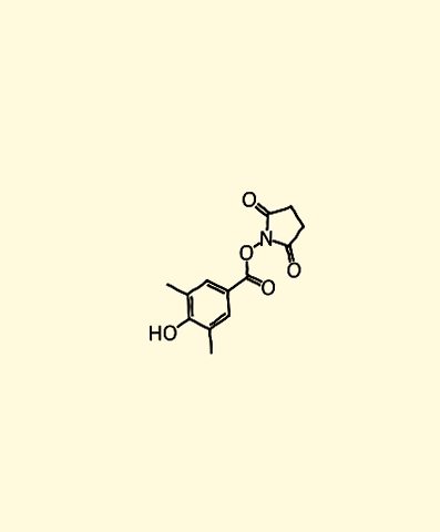 Cc1cc(C(=O)ON2C(=O)CCC2=O)cc(C)c1O